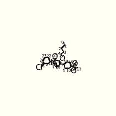 CC=CCCOc1c(-c2ccc(S(C)(=O)=O)cc2)cnn(-c2cccc(Cl)c2)c1=O